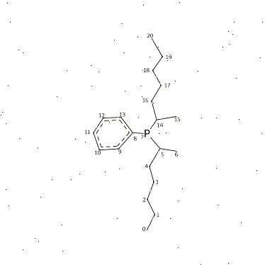 CCCCCC(C)P(c1ccccc1)C(C)CCCCC